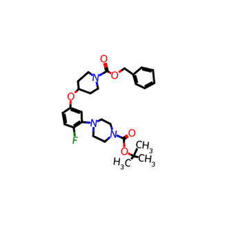 CC(C)(C)OC(=O)N1CCN(c2cc(OC3CCN(C(=O)OCc4ccccc4)CC3)ccc2F)CC1